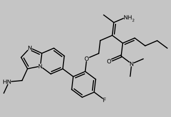 CCC/C=C(C(=O)N(C)C)/C(CCOc1cc(F)ccc1-c1ccc2ncc(CNC)n2c1)=C(/C)N